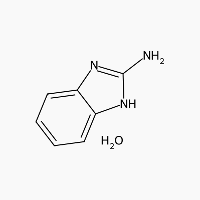 Nc1nc2ccccc2[nH]1.O